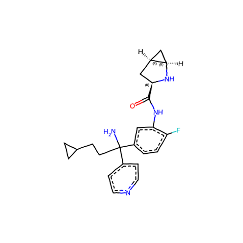 NC(CCC1CC1)(c1ccncc1)c1ccc(F)c(NC(=O)[C@H]2C[C@H]3C[C@H]3N2)c1